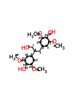 COc1cc(CC(CO)c2cc(OC)c(O)c(OC)c2)cc(OC)c1O